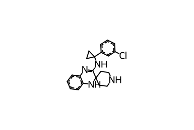 Clc1cccc(C2(NC3=Nc4ccccc4NC34CCNCC4)CC2)c1